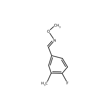 CON=Cc1ccc(F)c(C)c1